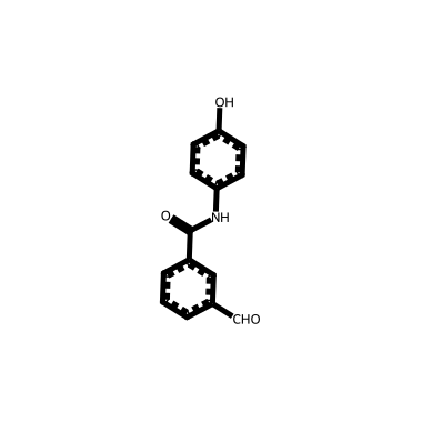 O=Cc1cccc(C(=O)Nc2ccc(O)cc2)c1